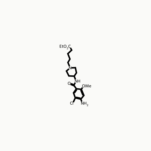 CCOC(=O)CCCCN1CCC(NC(=O)c2cc(Cl)c(N)cc2OC)CC1